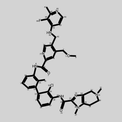 COCc1cc(C(=O)Nc2cccc(-c3cccc(NC(=O)c4nc5c(n4C)CCN(C)C5)c3Cl)c2C)ncc1CNc1ccnc(C)c1F